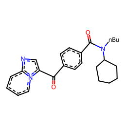 CCCCN(C(=O)c1ccc(C(=O)c2cnc3ccccn23)cc1)C1CCCCC1